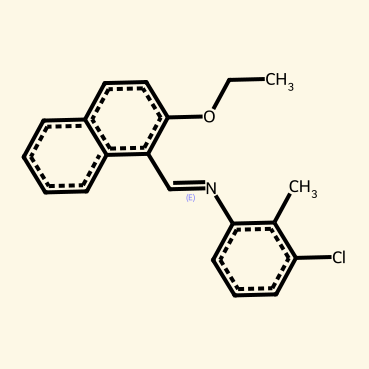 CCOc1ccc2ccccc2c1/C=N/c1cccc(Cl)c1C